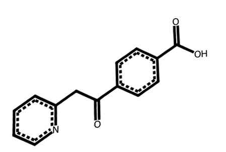 O=C(O)c1ccc(C(=O)Cc2ccccn2)cc1